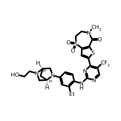 CCc1cc(N2C[C@H]3C[C@@H]2CN3CCO)ccc1Nc1ncc(C(F)(F)F)c(-c2cc3c(s2)C(=O)N(C)CCS3(=O)=O)n1